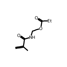 C=C(C)C(=O)NCOC(=O)CC